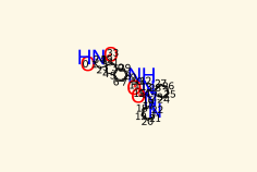 O=C1CC2(Cc3ccc(NC(=O)Cn4c(=O)n(-c5ccccn5)c5ccccc54)cc3C2)C(=O)N1